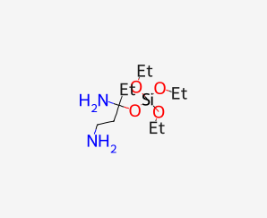 CCO[Si](OCC)(OCC)OC(N)(CC)CCN